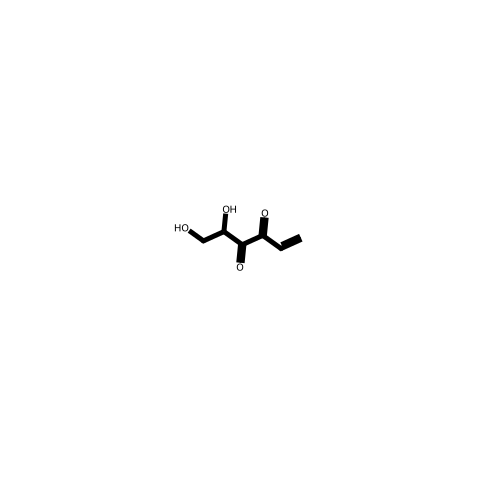 C=CC(=O)C(=O)C(O)CO